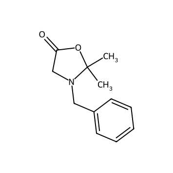 CC1(C)OC(=O)CN1Cc1ccccc1